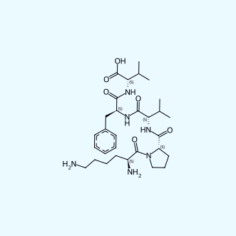 CC(C)[C@H](NC(=O)[C@H](Cc1ccccc1)NC(=O)[C@@H](NC(=O)[C@@H]1CCCN1C(=O)[C@@H](N)CCCCN)C(C)C)C(=O)O